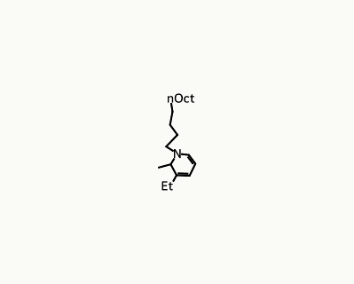 CCCCCCCCCCCCN1C=CC=C(CC)C1C